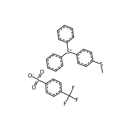 CSc1ccc([S+](c2ccccc2)c2ccccc2)cc1.O=S(=O)([O-])c1ccc(C(F)(F)F)cc1